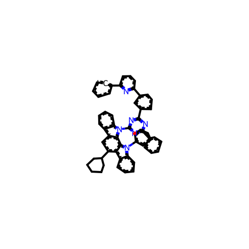 c1ccc(-c2cccc(-c3cccc(-c4nc(-c5ccccc5)nc(-n5c6ccccc6c6cc(C7CCCCC7)c7c8ccccc8n(-c8ccccc8)c7c65)n4)c3)n2)cc1